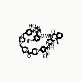 CCOc1cc(N2CCC(C(=O)N3CCC(CN4CCN(Cc5ccc(-n6c(O)nnc6-c6cc(C(C)C)ccc6OC)cc5)CC4)CC3)CC2)ccc1Nc1ncc2c(n1)N(C)c1ccccc1C(=O)N2C